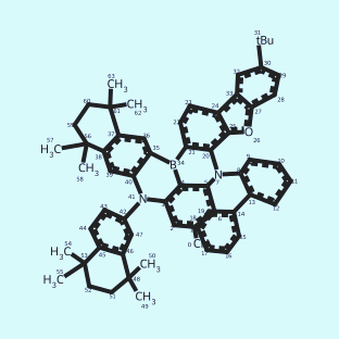 Cc1cc2c3c(c1)N(c1ccccc1-c1ccccc1)c1c(ccc4c1oc1ccc(C(C)(C)C)cc14)B3c1cc3c(cc1N2c1ccc2c(c1)C(C)(C)CCC2(C)C)C(C)(C)CCC3(C)C